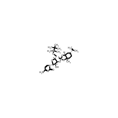 C=C(C)[C@@H]1CC[C@]2(C)SP(=S)(O[C@H]3[C@@H](O)[C@H](n4ccc(N)nc4=O)O[C@@H]3CO[Si](C)(C)C(C)(C)C)O[C@H]2C1